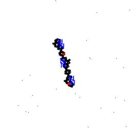 Cc1cc2cc(-c3ccc(-c4cnc5c(c4)c(C)cc4cc(-c6ccc(-c7cnc8c(c7)c(C)cc7cccnc78)cc6)cnc45)cc3)cnc2c2ncccc12